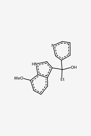 CCC(O)(c1cccnc1)c1c[nH]c2c(OC)cccc12